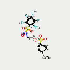 COc1ccc(S(=O)(=O)OCC[NH+]([O-])S(=O)(=O)c2c(F)c(F)c(F)c(F)c2F)cc1